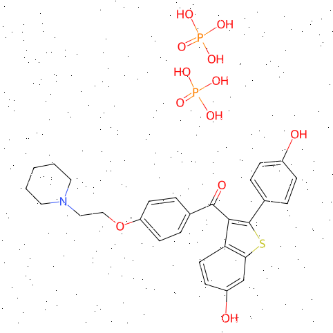 O=C(c1ccc(OCCN2CCCCC2)cc1)c1c(-c2ccc(O)cc2)sc2cc(O)ccc12.O=P(O)(O)O.O=P(O)(O)O